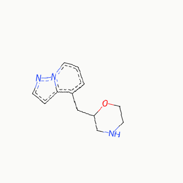 c1cc(CC2CNCCO2)c2ccnn2c1